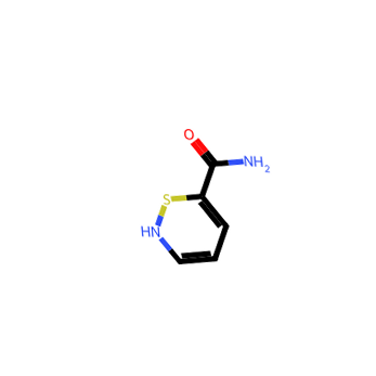 NC(=O)C1=CC=CNS1